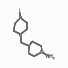 NN1CCC(CN2CCN(I)CC2)CC1